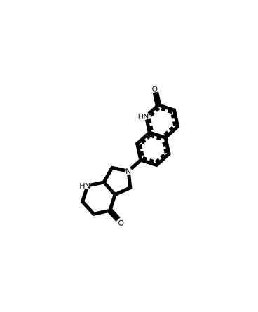 O=C1CCNC2CN(c3ccc4ccc(=O)[nH]c4c3)CC12